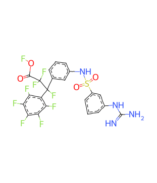 N=C(N)Nc1cccc(S(=O)(=O)Nc2cccc(C(F)(c3c(F)c(F)c(F)c(F)c3F)C(F)(F)C(=O)OF)c2)c1